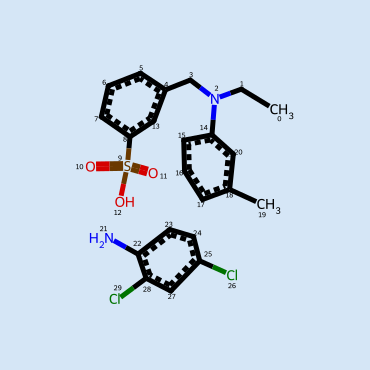 CCN(Cc1cccc(S(=O)(=O)O)c1)c1cccc(C)c1.Nc1ccc(Cl)cc1Cl